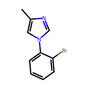 Cc1cn(-c2ccccc2Br)cn1